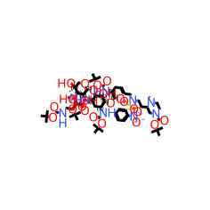 CN1CCN(C(=O)OC(C)(C)C)CC1CCN(CC1=CC[C@@H](NC(=O)OC(C)(C)C)[C@@H](O[C@H]2[C@H](O)[C@@H](O[C@H]3OC[C@](C)(O)[C@H](N(C)C(=O)OC(C)(C)C)[C@H]3O)[C@H](NC(=O)[C@@H](O)CCNC(=O)OC(C)(C)C)C[C@@H]2NC(=O)OC(C)(C)C)O1)S(=O)(=O)c1ccccc1[N+](=O)[O-]